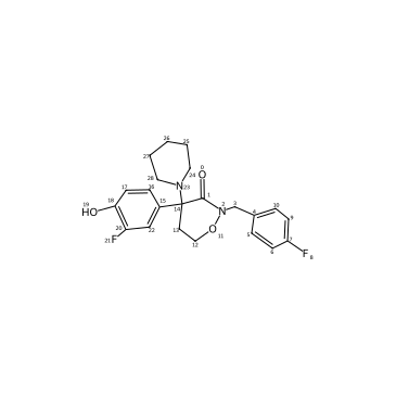 O=C1N(Cc2ccc(F)cc2)OCCC1(c1ccc(O)c(F)c1)N1CCCCC1